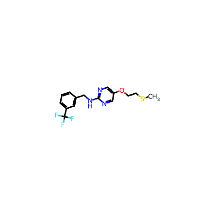 CSCCOc1cnc(NCc2cccc(C(F)(F)F)c2)nc1